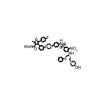 CNC(=O)c1c(-c2cccc(N3CCN(c4ccc(NS(=O)(=O)c5ccc(N[C@H](CCN6CCC(O)CC6)CSc6ccccc6)c([N+](=O)[O-])c5)cc4)CC3)c2)c(-c2ccc(F)cc2)n(C)c1C